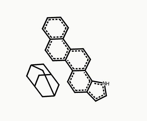 C1C2CC3CC1CC(C2)C3.c1ccc2c(c1)ccc1c2ccc2c1ccc1cc[nH]c12